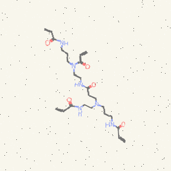 C=CC(=O)NCCCN(CCNC(=O)C=C)CCC(=O)NCCN(CCCNC(=O)C=C)C(=O)C=C